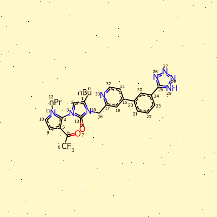 CCCCc1cn(-c2c(C(=O)C(F)(F)F)ccn2CCC)c(=O)n1Cc1cc(-c2cccc(-c3nnn[nH]3)c2)ccn1